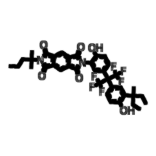 CCCC(C)(C)n1c(=O)c2cc3c(=O)n(-c4cc(C(c5ccc(O)c(C(C)(CC)CC)c5)(C(F)(F)F)C(F)(F)F)ccc4O)c(=O)c3cc2c1=O